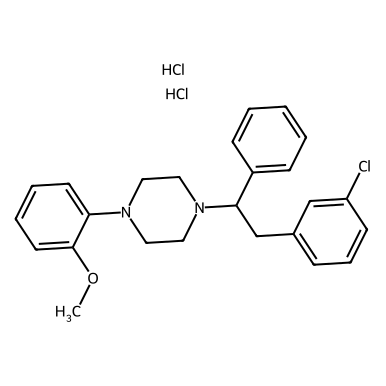 COc1ccccc1N1CCN(C(Cc2cccc(Cl)c2)c2ccccc2)CC1.Cl.Cl